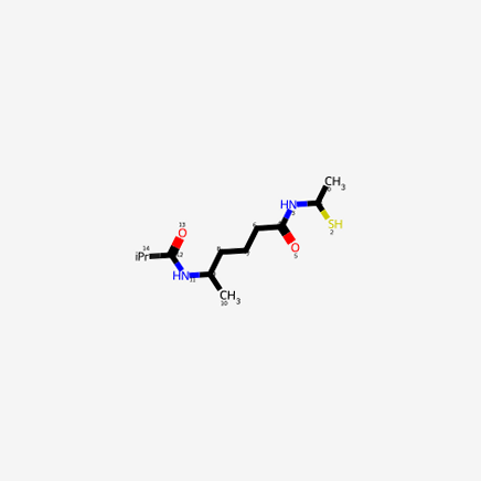 CC(S)NC(=O)CCCC(C)NC(=O)C(C)C